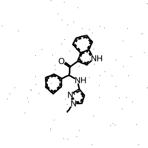 Cn1ccc(NC(C(=O)c2c[nH]c3ccccc23)c2ccccc2)n1